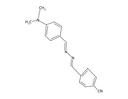 CN(C)c1ccc(/C=N/N=C/c2ccc(C#N)cc2)cc1